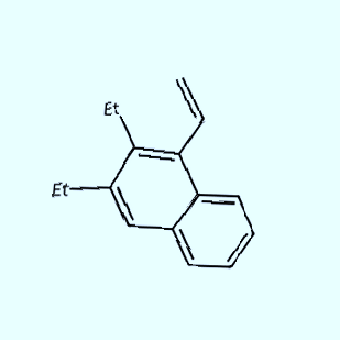 C=Cc1c(CC)c(CC)cc2ccccc12